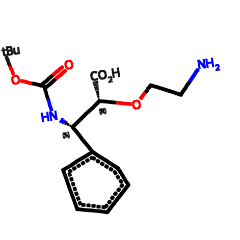 CC(C)(C)OC(=O)N[C@@H](c1ccccc1)[C@@H](OCCN)C(=O)O